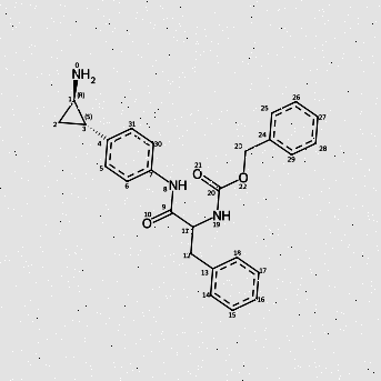 N[C@@H]1C[C@H]1c1ccc(NC(=O)C(Cc2ccccc2)NC(=O)OCc2ccccc2)cc1